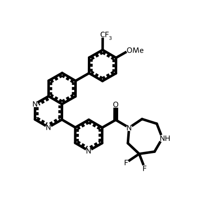 COc1ccc(-c2ccc3ncnc(-c4cncc(C(=O)N5CCNCC(F)(F)C5)c4)c3c2)cc1C(F)(F)F